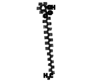 CCCCCCCCCCCCCCCCCCCCCCOC(=O)c1ccccc1O